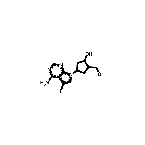 Nc1ncnc2c1c(I)cn2C1CC(O)C(CO)C1